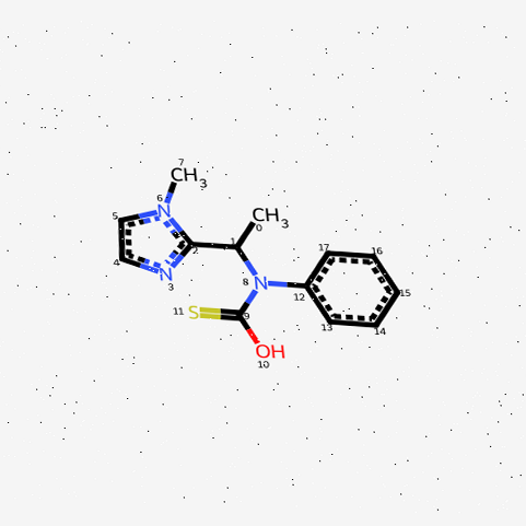 CC(c1nccn1C)N(C(O)=S)c1ccccc1